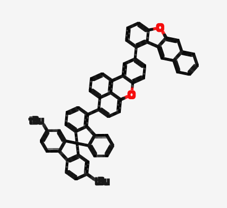 CC(C)(C)c1ccc2c(c1)C1(c3cc(C(C)(C)C)ccc3-2)c2ccccc2-c2c(-c3ccc4c5c(cccc35)-c3cc(-c5cccc6oc7cc8ccccc8cc7c56)ccc3O4)cccc21